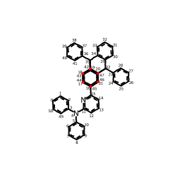 c1ccc(N(c2ccccc2)c2cccc(-c3ccc4c(c3)C3(c5ccccc5)c5ccccc5C4(c4ccccc4)c4ccccc43)n2)cc1